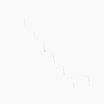 O=C(CCOCCO)NCCCN1C=CC=CC1